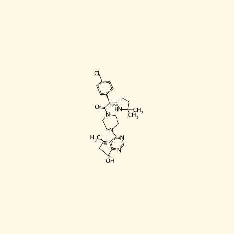 C[C@@H]1C[C@@H](O)c2ncnc(N3CCN(C(=O)[C@@H](c4ccc(Cl)cc4)[C@@H]4CCC(C)(C)N4)CC3)c21